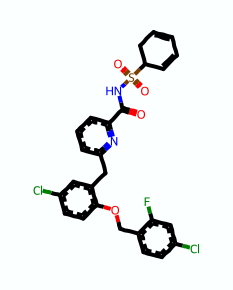 O=C(NS(=O)(=O)C1C=CC=CC1)c1cccc(Cc2cc(Cl)ccc2OCc2ccc(Cl)cc2F)n1